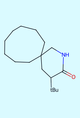 CC(C)(C)C1CC2(CCCCCCCC2)CNC1=O